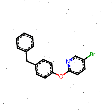 Brc1ccc(Oc2ccc(Cc3ccccc3)cc2)nc1